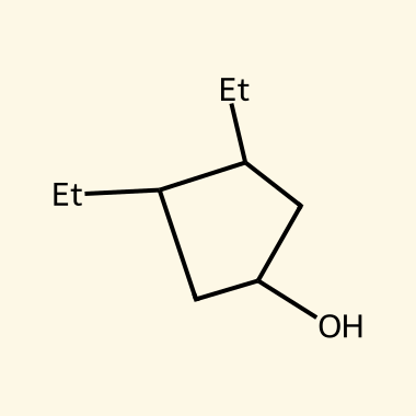 CCC1CC(O)CC1CC